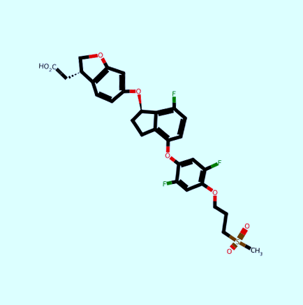 CS(=O)(=O)CCCOc1cc(F)c(Oc2ccc(F)c3c2CC[C@H]3Oc2ccc3c(c2)OC[C@H]3CC(=O)O)cc1F